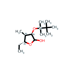 CC[C@H]1OC(O)[C@H](O[Si](C)(C)C(C)(C)C)[C@@H]1C